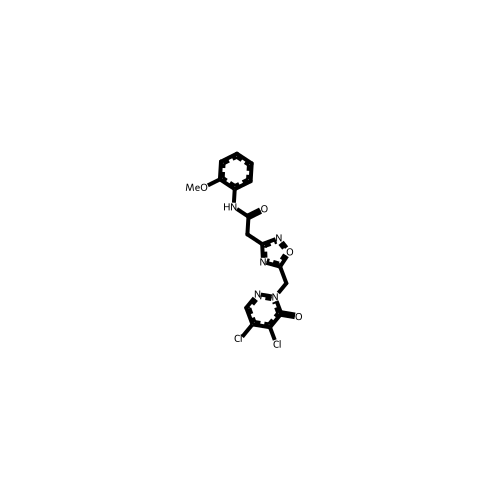 COc1ccccc1NC(=O)Cc1noc(Cn2ncc(Cl)c(Cl)c2=O)n1